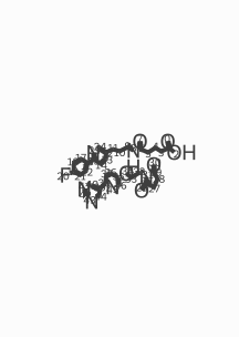 O=C(O)CCCC(=O)NCCCc1ccc(-c2ccc(F)cc2)nc1.O=C1CCC(=O)N1CCOc1ccc(-c2cncnc2)nc1